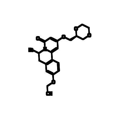 CCC1Cc2cc(OCC#N)ccc2-c2cc(OC[C@@H]3COCCO3)cc(=O)n21